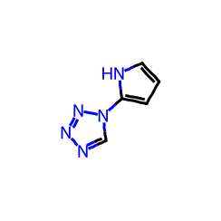 c1c[nH]c(-n2cnnn2)c1